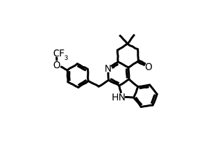 CC1(C)CC(=O)c2c(nc(Cc3ccc(OC(F)(F)F)cc3)c3[nH]c4ccccc4c23)C1